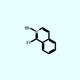 CCc1c2ccccc2cc[n+]1C(C)(C)C